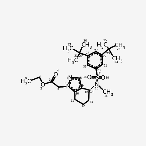 CCOC(=O)Cn1ncc2c1CCC[C@H]2N(C)S(=O)(=O)c1cc(C(C)(C)C)cc(C(C)(C)C)c1